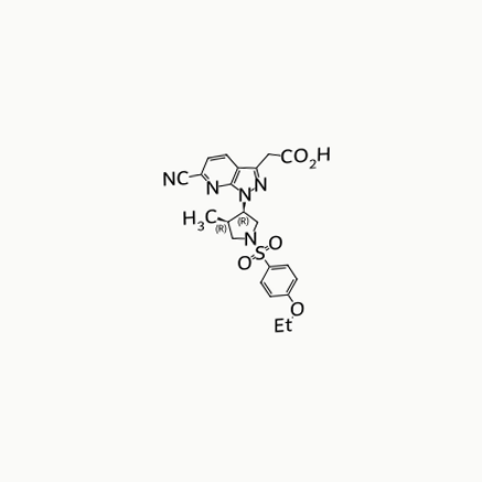 CCOc1ccc(S(=O)(=O)N2C[C@@H](C)[C@@H](n3nc(CC(=O)O)c4ccc(C#N)nc43)C2)cc1